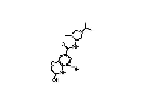 CC(C)N1C[C@H](C)[C@H](NC(=O)c2cc(O)c3c(c2)OCC(O)N3)C1